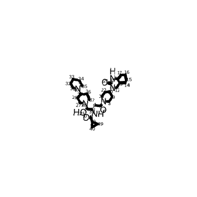 O=C(N[C@@H](CC(=O)N1CCC(N2Cc3ccccc3NC2=O)CC1)C(O)N1CCC(N2CCCCC2)CC1)C1CC1